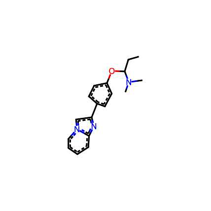 CCC(Oc1ccc(-c2cn3ccccc3n2)cc1)N(C)C